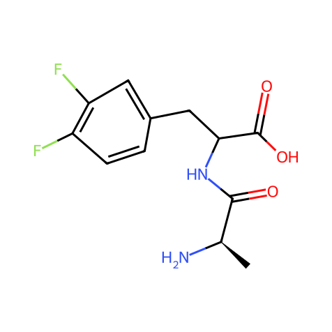 C[C@@H](N)C(=O)NC(Cc1ccc(F)c(F)c1)C(=O)O